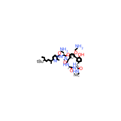 C=C/C(=C\C=C(/C)c1ccc(C(=O)N[C@@H](CCN)C(=O)N(C)[C@@H]2C(=O)N[C@@H](C)C(=O)N[C@H](C(=O)NCC#N)Cc3ccc(O)c(c3)-c3cc2ccc3OCCN)c(C)n1)C(C)(C)C